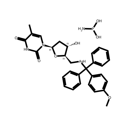 COc1ccc(C([AsH]C[C@H]2O[C@@H](n3cc(C)c(=O)[nH]c3=O)C[C@@H]2O)(c2ccccc2)c2ccccc2)cc1.NP(O)O